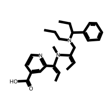 C/C=C(/CN(CCC)C(CC)c1ccccc1)N(C)/C(=C/C)c1cc(C(=O)O)ccn1